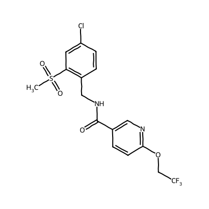 CS(=O)(=O)c1cc(Cl)ccc1CNC(=O)c1ccc(OCC(F)(F)F)nc1